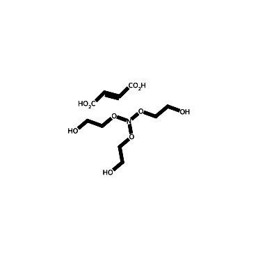 O=C(O)C=CC(=O)O.OCCON(OCCO)OCCO